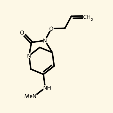 C=CCON1C(=O)N2CC(NNC)=CC1C2